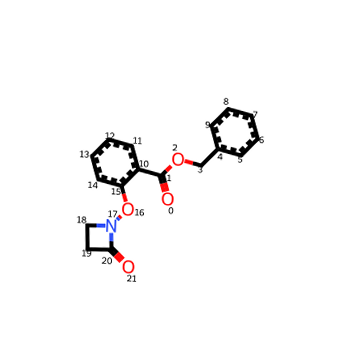 O=C(OCc1ccccc1)c1ccccc1ON1CCC1=O